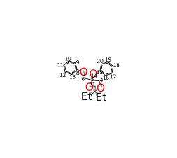 CCC1(CC)OCC(COc2ccccc2)(Oc2ccccc2)O1